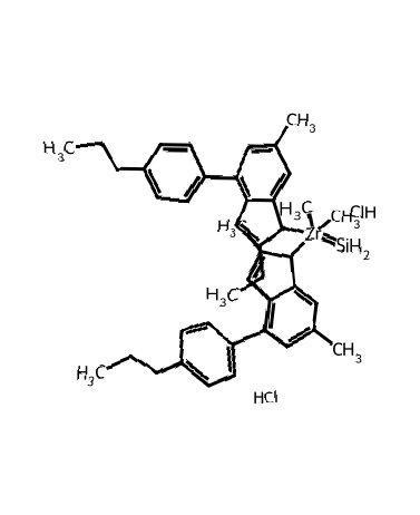 CCCc1ccc(-c2cc(C)cc3c2C=C(C)[CH]3[Zr]([CH3])([CH3])(=[SiH2])[CH]2C(CC)=Cc3c(-c4ccc(CCC)cc4)cc(C)cc32)cc1.Cl.Cl